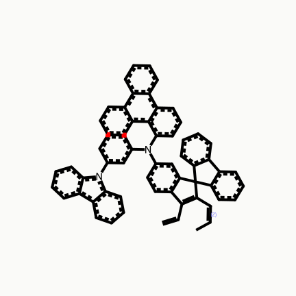 C=CC1=C(/C=C\C)C2(c3cc(N(c4cccc(-n5c6ccccc6c6ccccc65)c4)c4cccc5c6ccccc6c6ccccc6c45)ccc31)c1ccccc1-c1ccccc12